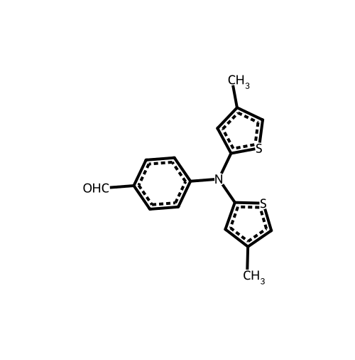 Cc1csc(N(c2ccc(C=O)cc2)c2cc(C)cs2)c1